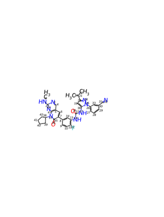 CNc1ncc2cc(-c3ccc(F)c(NC(=O)Nc4cc(C(C)C)nn4-c4cccc(C#N)c4)c3)c(=O)n(C3CCCC3)c2n1